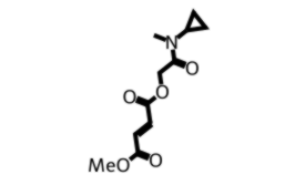 COC(=O)/C=C/C(=O)OCC(=O)N(C)C1CC1